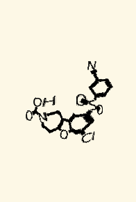 N#Cc1cccc(S(=O)(=O)c2cc(Cl)c3oc4c(c3c2)CN(C(=O)O)CC4)c1